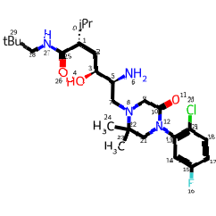 CC(C)[C@H](C[C@H](O)[C@@H](N)CN1CC(=O)N(c2cc(F)ccc2Cl)CC1(C)C)C(=O)NCC(C)(C)C